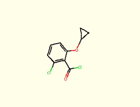 O=C(Cl)c1c(Cl)cccc1OC1CC1